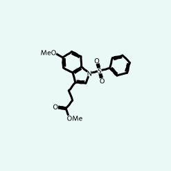 COC(=O)CCc1cn(S(=O)(=O)c2ccccc2)c2ccc(OC)cc12